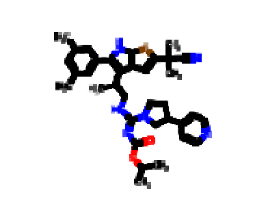 Cc1cc(C)cc(-c2[nH]c3sc(C(C)(C)C#N)cc3c2[C@H](C)CN/C(=N/C(=O)OC(C)C)N2CCC(c3ccncc3)C2)c1